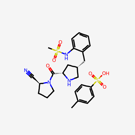 CS(=O)(=O)Nc1ccccc1C[C@@H]1CN[C@H](C(=O)N2CCC[C@H]2C#N)C1.Cc1ccc(S(=O)(=O)O)cc1